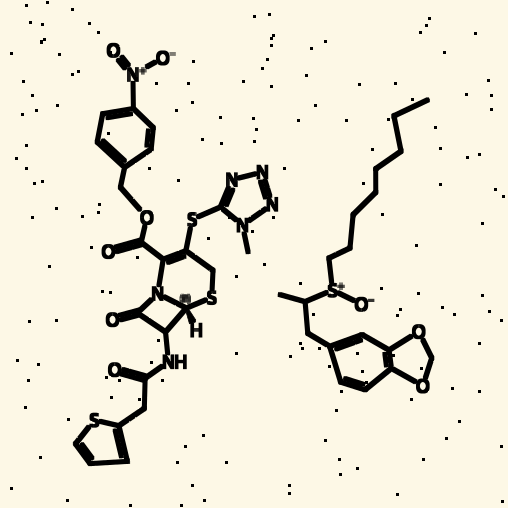 CCCCCCCC[S+]([O-])C(C)Cc1ccc2c(c1)OCO2.Cn1nnnc1SC1=C(C(=O)OCc2ccc([N+](=O)[O-])cc2)N2C(=O)C(NC(=O)Cc3cccs3)[C@H]2SC1